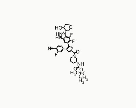 CC(C)(C)OC(=O)N[C@@H]1CCCN(C(=O)c2cc(-c3ccc(C#N)c(F)c3)c(-c3cc4c(c(F)c3F)N([C@H]3COCC[C@@H]3O)NN4)s2)C1